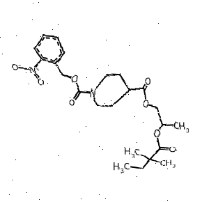 CCC(C)(C)C(=O)OC(C)COC(=O)C1CCN(C(=O)OCc2ccccc2[N+](=O)[O-])CC1